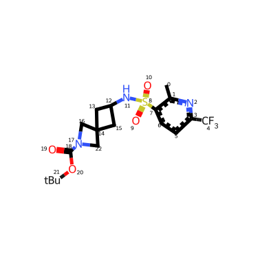 Cc1nc(C(F)(F)F)ccc1S(=O)(=O)NC1CC2(C1)CN(C(=O)OC(C)(C)C)C2